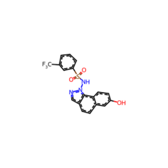 O=S(=O)(Nn1ncc2ccc3cc(O)ccc3c21)c1cccc(C(F)(F)F)c1